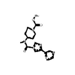 CN(C(=O)n1cnc(-c2cccnc2)c1)C1CCN(C(=O)OC(C)(C)C)CC1